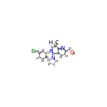 Cc1cnc(N2CCCC2c2ccc(Br)cc2)c2ccc(C=O)nc12